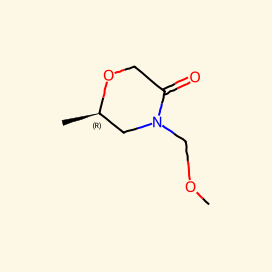 COCN1C[C@@H](C)OCC1=O